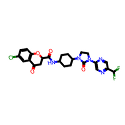 O=C1CC(C(=O)NC2CCC(N3CCN(c4cnc(C(F)F)cn4)C3=O)CC2)Oc2ccc(Cl)cc21